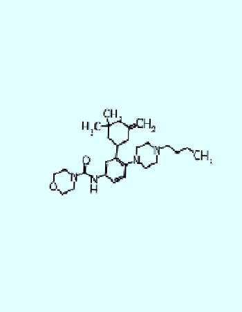 C=C1CC(c2cc(NC(=O)N3CCOCC3)ccc2N2CCN(CCCC)CC2)CC(C)(C)C1